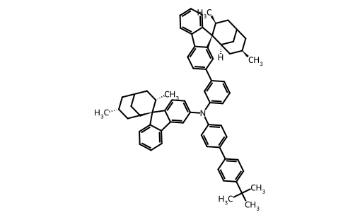 C[C@@H]1CC2CC(C1)[C@@]1(c3ccccc3-c3cc(N(c4ccc(-c5ccc(C(C)(C)C)cc5)cc4)c4cccc(-c5ccc6c(c5)[C@]5(c7ccccc7-6)[C@H]6CC(C[C@@H](C)C6)C[C@@H]5C)c4)ccc31)[C@@H](C)C2